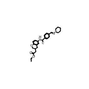 CCOC(=O)CC1COc2ccc(NC(=O)c3ccc(/C=N/N4CCCCC4)cc3)cc2C1